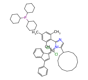 C1CCC(P(C2CCCCC2)C2CCCCC2)CC1.Cc1cc(C)c(C2=NC=C(C3CCCCCCCCCCC3)[N+]2=[Ru]([Cl])([Cl])=[C]2C=C(c3ccccc3)c3ccccc32)c(C)c1